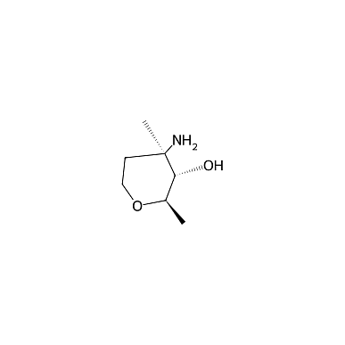 C[C@H]1OCC[C@@](C)(N)[C@@H]1O